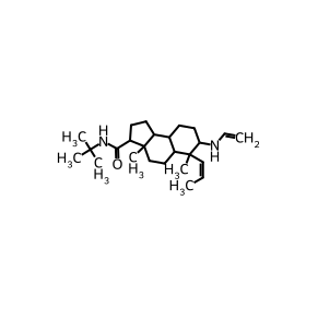 C=CNC1CCC2C(CCC3(C)C(C(=O)NC(C)(C)C)CCC23)C1(C)/C=C\C